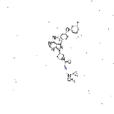 CN(C/C=C/C(=O)N1CCC(n2nc(-c3ccc(Oc4cccc(F)c4)cc3)c3c(N)ncnc32)C1)C1CC1